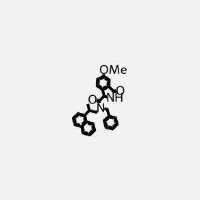 COc1ccc2c(c1)C(=O)NC2C(=O)N(Cc1ccccc1)CC(C)c1cccc2ccccc12